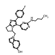 CCCCNc1nccc(-c2c(-c3ccc(F)cc3)nc3n2C(Cn2ccc4cc(O)ccc42)CC3)n1